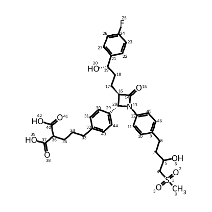 CS(=O)(=O)CC(O)CCc1ccc(N2C(=O)[C@H](CC[C@H](O)c3ccc(F)cc3)[C@H]2c2ccc(CCCC(C(=O)O)C(=O)O)cc2)cc1